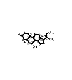 CC[C@@H](C)[C@H]1CCC2C3C(CC[C@@]21C)[C@@]1(C)CCC(=O)C[C@@H]1C[C@H]3O